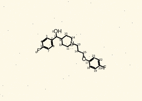 OC(c1ccc(F)cc1)C1CCN(CCCOc2ccc(F)cc2)CC1